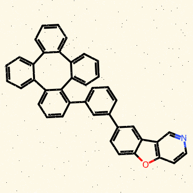 c1cc(-c2ccc3oc4ccncc4c3c2)cc(-c2cccc3c2-c2ccccc2-c2ccccc2-c2ccccc2-3)c1